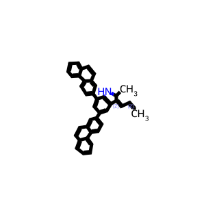 C/C=C\C=C1\c2cc(-c3ccc4c(ccc5ccccc54)c3)cc(-c3ccc4c(ccc5ccccc54)c3)c2NC1C